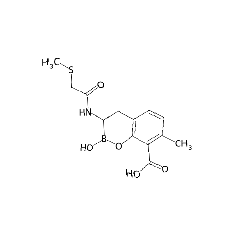 CSCC(=O)NC1Cc2ccc(C)c(C(=O)O)c2OB1O